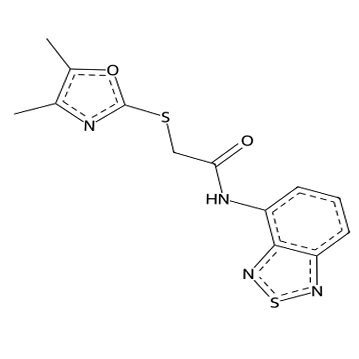 Cc1nc(SCC(=O)Nc2cccc3nsnc23)oc1C